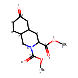 CCC(C)OC(=O)C1CC2CC(=O)CCC2CN1C(=O)OC(C)(C)C